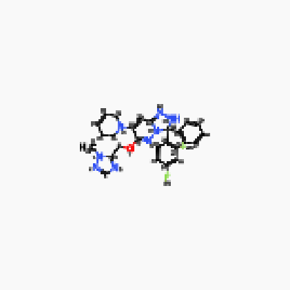 Cn1ncnc1COC1=NN2C(=NNC2(c2ccccc2)c2ccc(F)cc2F)C=C1N1CC=CCC1